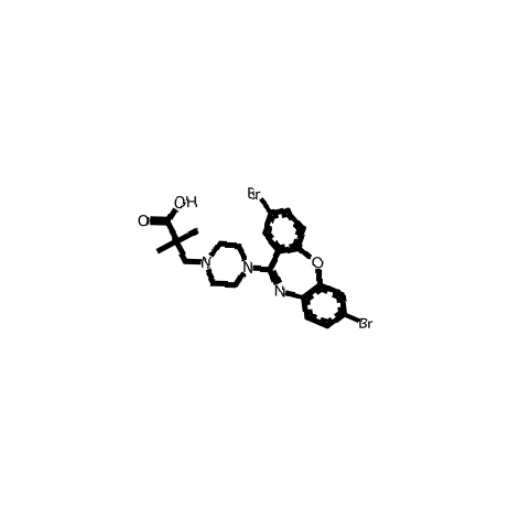 CC(C)(CN1CCN(C2=Nc3ccc(Br)cc3Oc3ccc(Br)cc32)CC1)C(=O)O